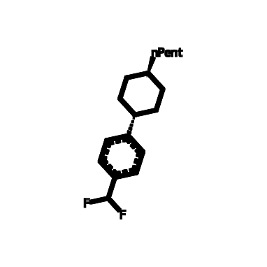 CCCCC[C@H]1CC[C@H](c2ccc(C(F)F)cc2)CC1